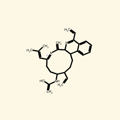 C=CC1=NC2C(=C)/N=C(/C=C(C)C)CCC(NC(=C)O)C(C=C)CCC2c2ccccc21